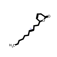 CCCCCC/C=C/CCC1C=CCC(=O)O1